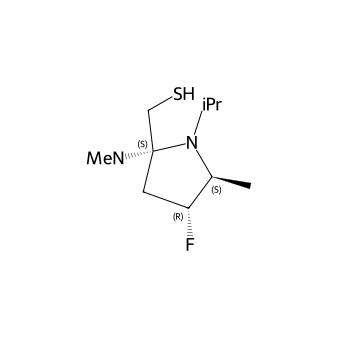 CN[C@@]1(CS)C[C@@H](F)[C@H](C)N1C(C)C